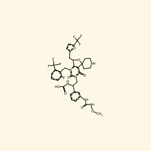 CONC(=O)Nc1cccc(C(Cn2c(=O)c3c(n(Cc4c(F)cccc4C(F)(F)F)c2=O)C(Cc2ccc(C(F)(F)F)o2)OC32CCNCC2)NC(=O)O)c1